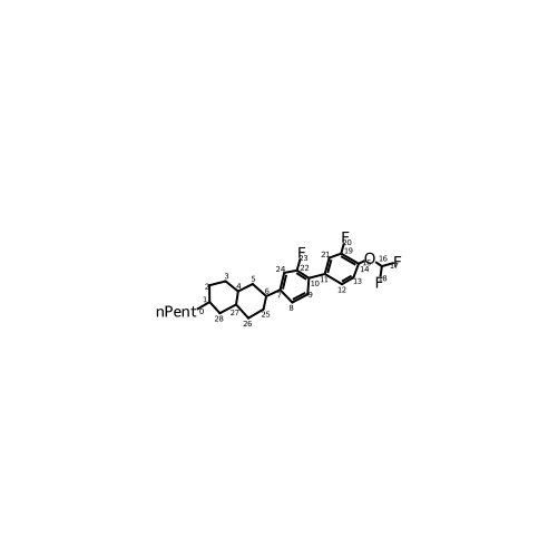 CCCCCC1CCC2CC(c3ccc(-c4ccc(OC(F)F)c(F)c4)c(F)c3)CCC2C1